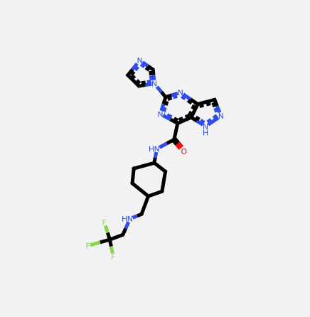 O=C(NC1CCC(CNCC(F)(F)F)CC1)c1nc(-n2ccnc2)nc2cn[nH]c12